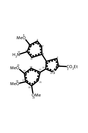 CCOC(=O)c1cc(-c2ccc(OC)c(N)c2)c(-c2cc(OC)c(OC)c(OC)c2)s1